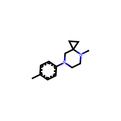 Cc1ccc(N2CCN(C)C3(CC3)C2)cc1